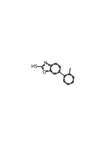 Cc1ccccc1-c1ccc2nc(S)oc2c1